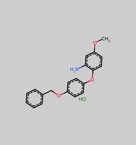 COc1ccc(Oc2ccc(OCc3ccccc3)cc2)c(N)c1.Cl